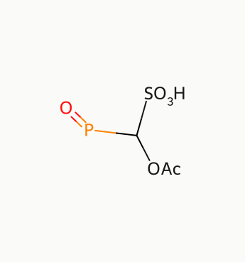 CC(=O)OC(P=O)S(=O)(=O)O